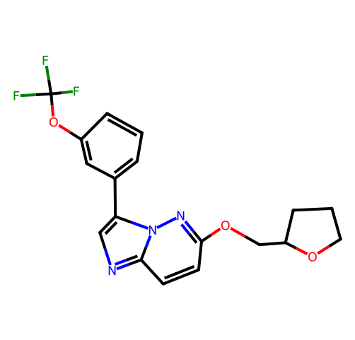 FC(F)(F)Oc1cccc(-c2cnc3ccc(OCC4CCCO4)nn23)c1